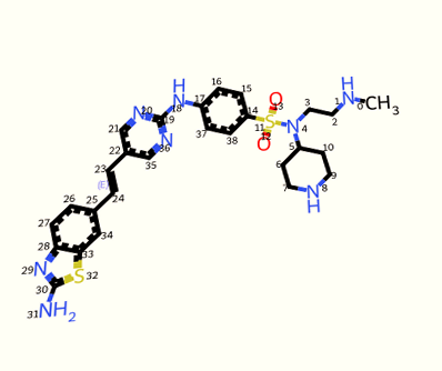 CNCCN(C1CCNCC1)S(=O)(=O)c1ccc(Nc2ncc(/C=C/c3ccc4nc(N)sc4c3)cn2)cc1